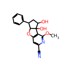 COc1nc(C#N)cc2c1C1(O)C(O)CC(c3ccccc3)C1O2